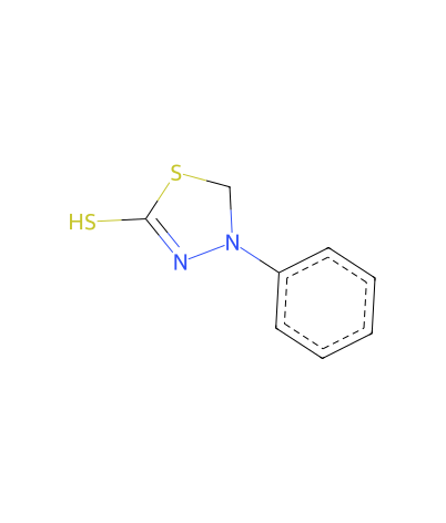 SC1=NN(c2ccccc2)CS1